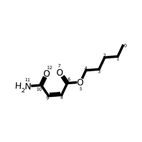 CCCCCOC(=O)/C=C\C(N)=O